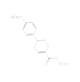 CCCCCCCCOC(=O)C1=CCC(c2ccc(CCCCC)cc2)CC1